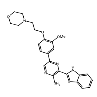 COc1cc(-c2cnc(N)c(-c3nc4ccccc4[nH]3)n2)ccc1OCCN1CCOCC1